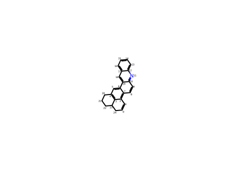 C1=Cc2c3c(cc4c2ccc2nc5ccccc5cc24)CCCC3C1